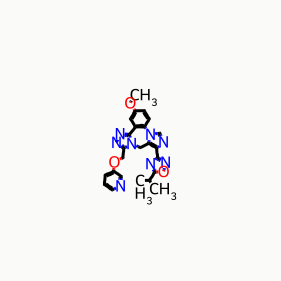 COc1ccc2c(c1)-c1nnc(COc3cccnc3)n1Cc1c(-c3noc(C(C)C)n3)ncn1-2